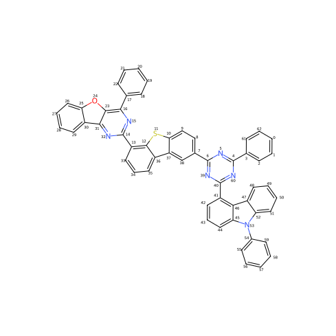 c1ccc(-c2nc(-c3ccc4sc5c(-c6nc(-c7ccccc7)c7oc8ccccc8c7n6)cccc5c4c3)nc(-c3cccc4c3c3ccccc3n4-c3ccccc3)n2)cc1